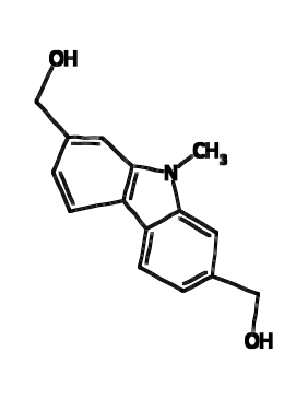 Cn1c2cc(CO)ccc2c2ccc(CO)cc21